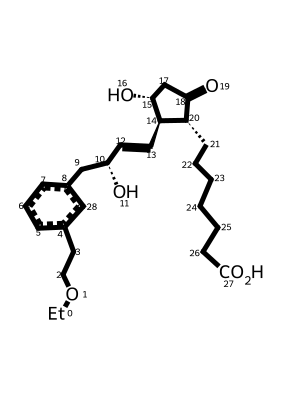 CCOCCc1cccc(C[C@@H](O)/C=C/[C@H]2[C@H](O)CC(=O)[C@@H]2CCCCCCC(=O)O)c1